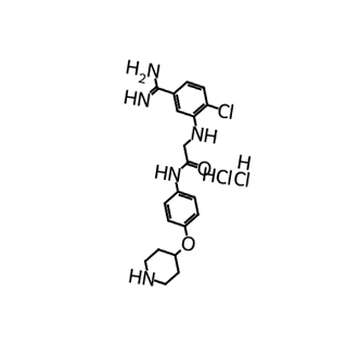 Cl.Cl.N=C(N)c1ccc(Cl)c(NCC(=O)Nc2ccc(OC3CCNCC3)cc2)c1